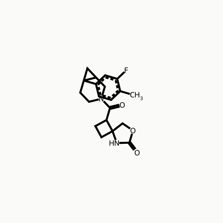 Cc1ccc(C23CCN(C(=O)C4CCC45COC(=O)N5)CC2C3)cc1F